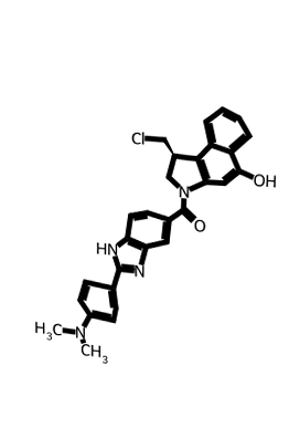 CN(C)c1ccc(-c2nc3cc(C(=O)N4C[C@@H](CCl)c5c4cc(O)c4ccccc54)ccc3[nH]2)cc1